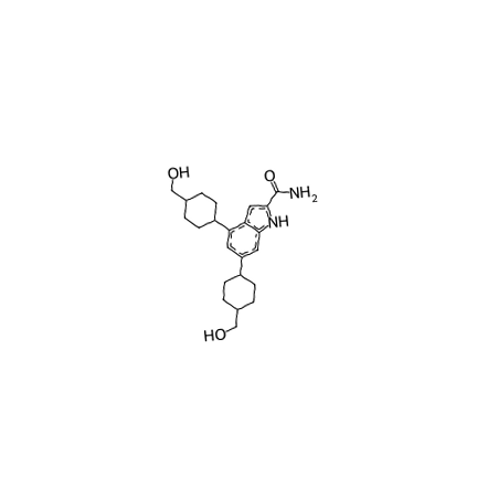 NC(=O)c1cc2c(C3CCC(CO)CC3)cc(C3CCC(CO)CC3)cc2[nH]1